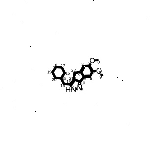 COc1cc2c(cc1OC)-c1n[nH]c(CC3CCCCC3)c1C2